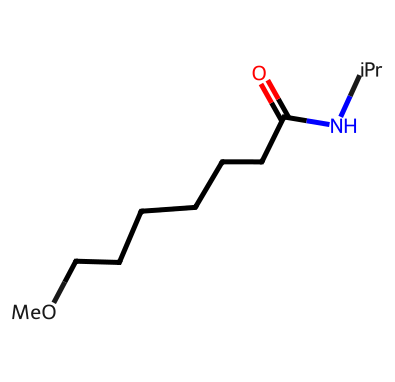 COCCCCCCC(=O)NC(C)C